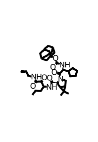 C=CCNC(=O)C(=O)C(CCC)NC(=O)[C@@H]1C2C(CN1C(=O)[C@@H](NC(=O)OC13CC4CC(CC(C4)C1)C3)C1CCCC1)C2(C)C